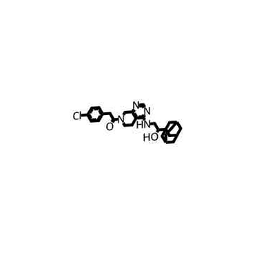 O=C(Cc1ccc(Cl)cc1)N1CCc2c(ncnc2NCC(O)C23CC4CC(CC(C4)C2)C3)C1